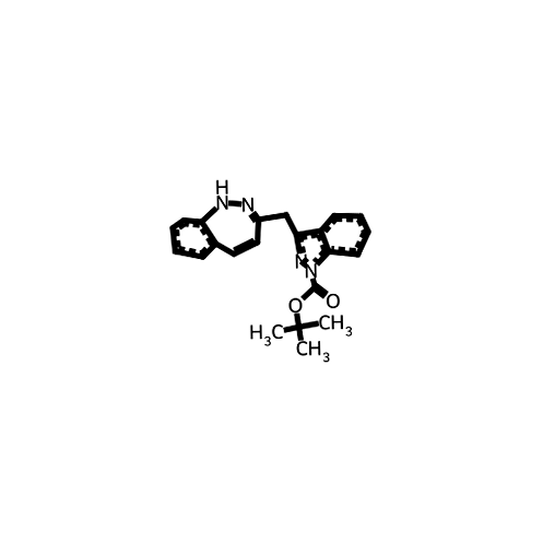 CC(C)(C)OC(=O)n1nc(CC2=NNc3ccccc3C=C2)c2ccccc21